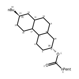 CCCCCC(=O)O[C@@H]1CCC2C(CCC3C[C@H](CCCC)CCC32)C1